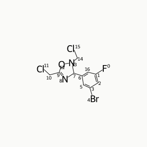 Fc1cc(Br)cc(C2N=C(CCl)ON2CCl)c1